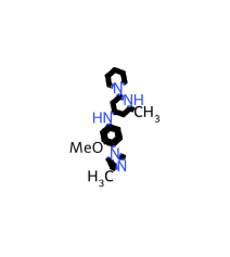 COc1cc(NC2CC(C)NC(N3CCCCC3)C2)ccc1-n1cnc(C)c1